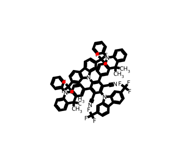 CC1(C)c2ccccc2N(c2ccccc2)c2ccc(-c3c(C#N)c(-n4c5cc(C(F)(F)F)ccc5c5ccc(C(F)(F)F)cc54)c(C#N)c(-c4ccc5c(c4)C(C)(C)c4ccccc4N5c4ccccc4)c3-n3c4cc(C(F)(F)F)ccc4c4ccc(C(F)(F)F)cc43)cc21